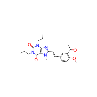 CCCn1c(=O)c2c(nc(C=Cc3ccc(OC)c(C(C)=O)c3)n2C)n(CCC)c1=O